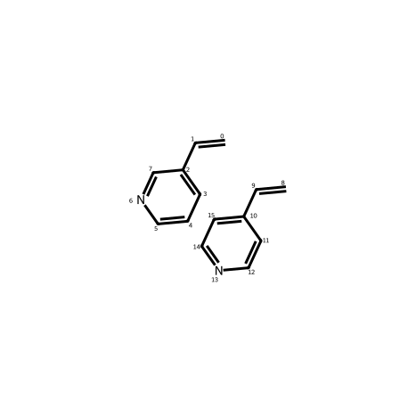 C=Cc1cccnc1.C=Cc1ccncc1